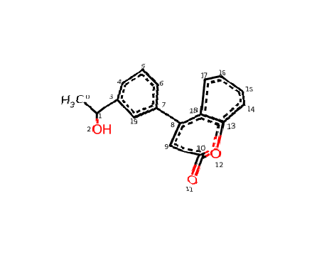 CC(O)c1cccc(-c2cc(=O)oc3ccccc23)c1